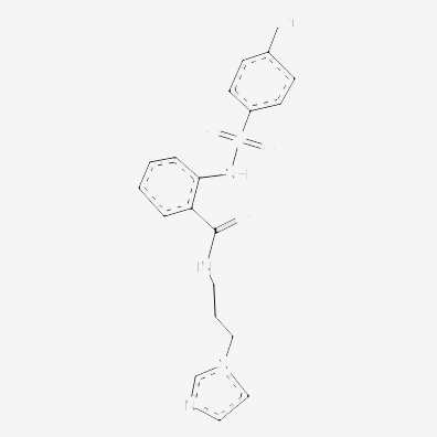 CC(C)c1ccc(S(=O)(=O)Nc2ccccc2C(=O)NCCCn2ccnc2)cc1